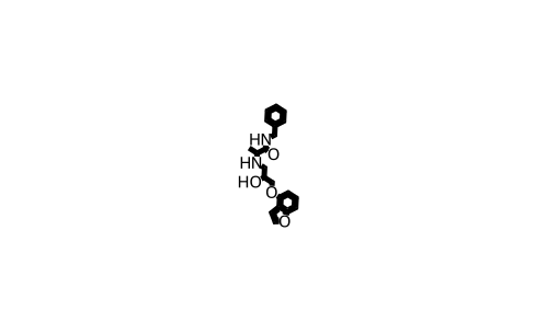 CC(NCC(O)COc1cccc2occc12)C(=O)NCc1ccccc1